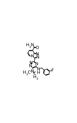 CN(C)c1nnc(-c2nnc3c(C(N)=O)cccn23)nc1NCc1cccc(F)c1